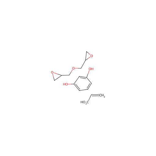 C(OCC1CO1)C1CO1.C=CC(=O)O.Oc1cccc(O)c1